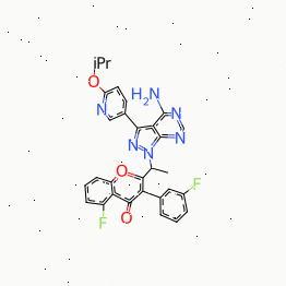 CC(C)Oc1ccc(-c2nn(C(C)c3oc4cccc(F)c4c(=O)c3-c3cccc(F)c3)c3ncnc(N)c23)cn1